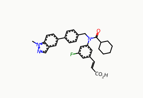 Cn1ncc2cc(-c3ccc(CN(C(=O)C4CCCCC4)c4cc(F)cc(C=CC(=O)O)c4)cc3)ccc21